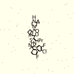 CC(C)C1=C(C(=O)N2[C@H](C)CC[C@@H]2C(=O)N2CCNC3(CC3)C2)SC2=N[C@@](C)(c3ccc(F)cc3)[C@@H](c3ccc(Cl)c(F)c3)N21